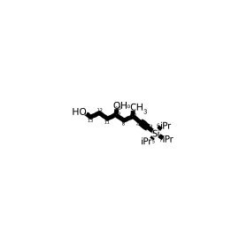 CC(C#C[Si](C(C)C)(C(C)C)C(C)C)CC(O)CCCO